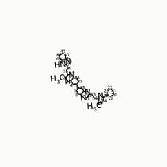 Cc1nc2cc(-c3ccc4ncc(CCc5nc(C6CCCCC6)cn5C)nc4c3)ccc2nc1CCc1nc2ccccc2[nH]1